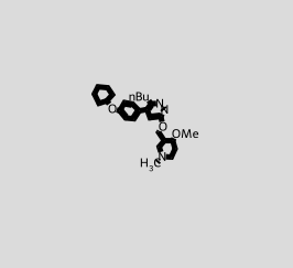 CCCCc1nnc(OCC2CN(C)CCC2OC)cc1-c1ccc(OC2CCCCC2)cc1